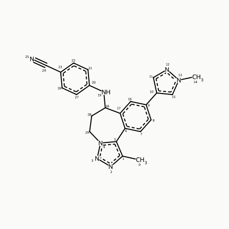 Cc1nnn2c1-c1ccc(-c3cnn(C)c3)cc1C(Nc1ccc(C#N)cc1)CC2